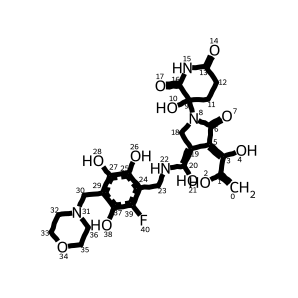 C=C(O)/C(O)=C1/C(=O)N(C2(O)CCC(=O)NC2=O)C/C1=C(/O)NCc1c(O)c(O)c(CN2CCOCC2)c(O)c1F